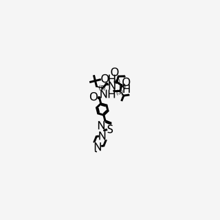 CC(C)[C@H]1CN(C(=O)[C@H](CC(C)(C)C)NC(=O)c2ccc(-c3csc(N4CCN(C)CC4)n3)cc2)[C@@H]2C(=O)CO[C@H]12